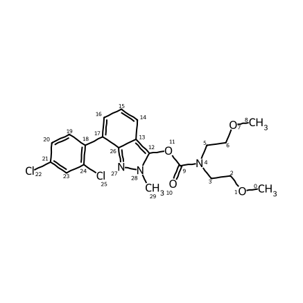 COCCN(CCOC)C(=O)Oc1c2cccc(-c3ccc(Cl)cc3Cl)c2nn1C